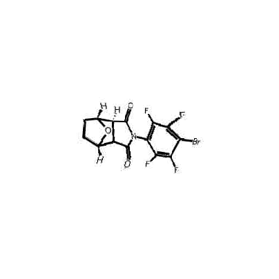 O=C1C2[C@@H]3CC[C@@H](O3)[C@H]2C(=O)N1c1c(F)c(F)c(Br)c(F)c1F